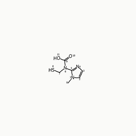 Cn1ccnc1N(CS)C(=O)O